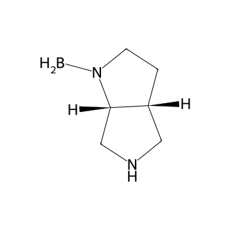 BN1CC[C@@H]2CNC[C@@H]21